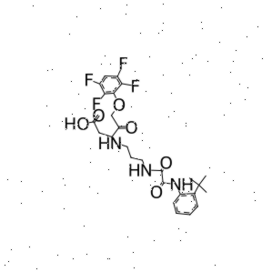 CC(C)(C)c1ccccc1NC(=O)C(=O)NCCCNC(CC(=O)O)C(=O)COc1c(F)c(F)cc(F)c1F